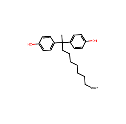 CCCCCCCCCCCCCCCCCC(C)(c1ccc(O)cc1)c1ccc(O)cc1